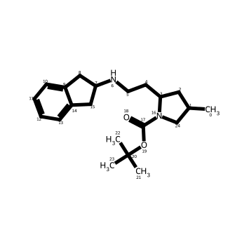 CC1CC(CCNC2Cc3ccccc3C2)N(C(=O)OC(C)(C)C)C1